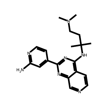 CN(C)CCC(C)(C)Nc1nc(-c2ccnc(N)c2)nc2cnccc12